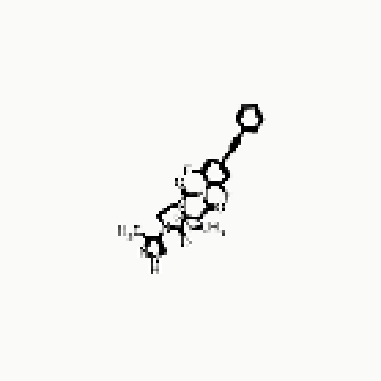 CC[C@@]12CC(=O)N(c3c(F)cc(C#Cc4ccccc4)cc3F)C(=O)N1CCN(c1c[nH]nc1C)C2=O